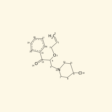 C=CCOC(CN1CCC(Cl)CC1)C(=O)c1ccccc1